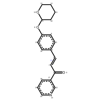 O=C(/C=C/c1ccc(OC2CCCCO2)cc1)c1cccnc1